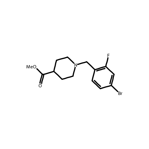 COC(=O)C1CCN(Cc2ccc(Br)cc2F)CC1